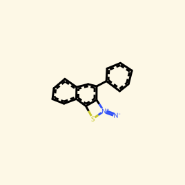 [N-]=[N+]1Sc2c1c(-c1ccccc1)cc1ccccc21